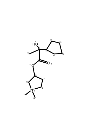 CC(O)(C(=O)OC1CC[N+](C)(C)C1)C1CCCC1